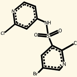 O=S(=O)(Nc1ccnc(Cl)c1)c1cc(Br)cnc1Cl